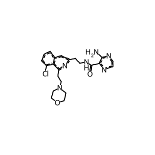 Nc1nccnc1C(=O)NCCc1cc2cccc(Cl)c2c(CCN2CCOCC2)n1